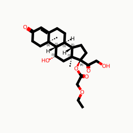 CCOCC(=O)O[C@]1(C(=O)CO)CC[C@H]2[C@@H]3CCC4=CC(=O)CC[C@]4(C)[C@H]3[C@@H](O)C[C@@]21C